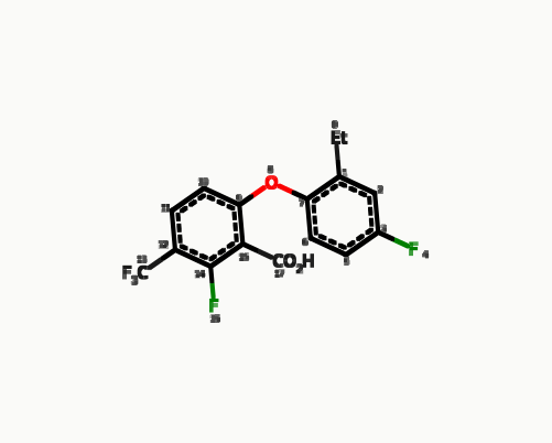 CCc1cc(F)ccc1Oc1ccc(C(F)(F)F)c(F)c1C(=O)O